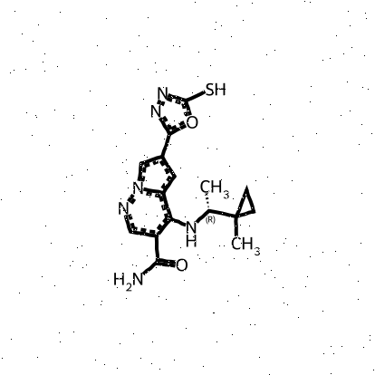 C[C@@H](Nc1c(C(N)=O)cnn2cc(-c3nnc(S)o3)cc12)C1(C)CC1